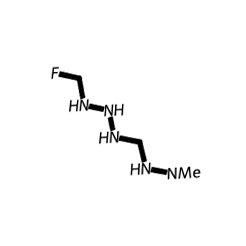 CNNCNNNCF